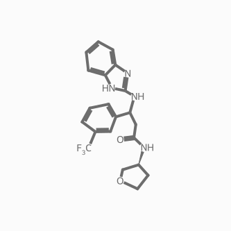 O=C(CC(Nc1nc2ccccc2[nH]1)c1cccc(C(F)(F)F)c1)N[C@H]1CCOC1